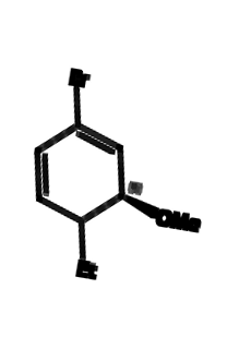 CCC1C=CC(Br)=C[C@H]1OC